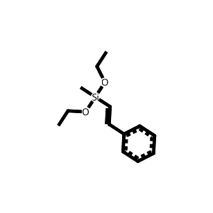 CCO[Si](C)(C=Cc1ccccc1)OCC